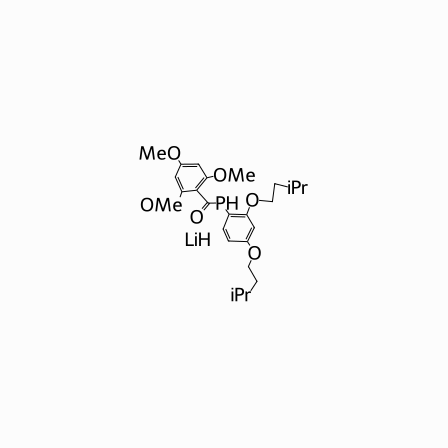 COc1cc(OC)c(C(=O)Pc2ccc(OCCC(C)C)cc2OCCC(C)C)c(OC)c1.[LiH]